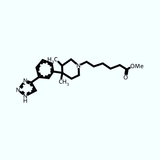 COC(=O)CCCCCN1CCC(C)(c2cccc(-c3c[nH]nn3)c2)C(C)C1